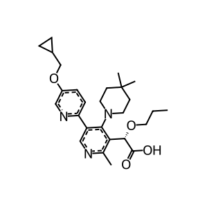 CCCO[C@H](C(=O)O)c1c(C)ncc(-c2ccc(OCC3CC3)cn2)c1N1CCC(C)(C)CC1